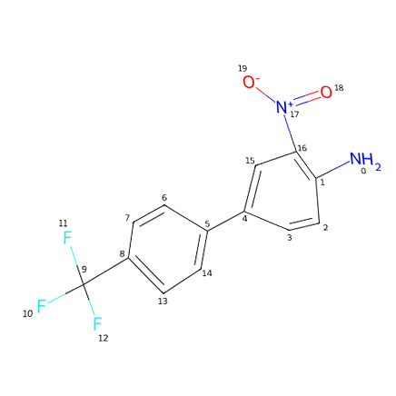 Nc1ccc(-c2ccc(C(F)(F)F)cc2)cc1[N+](=O)[O-]